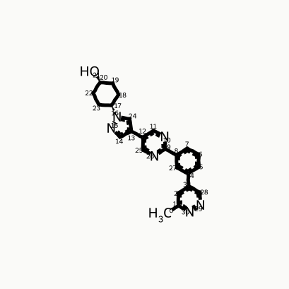 Cc1cc(-c2cccc(-c3ncc(-c4cnn([C@H]5CC[C@H](O)CC5)c4)cn3)c2)cnn1